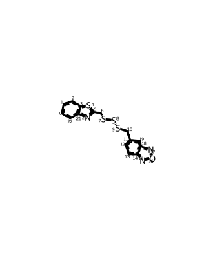 c1ccc2sc(CSSSCc3ccc4nonc4c3)nc2c1